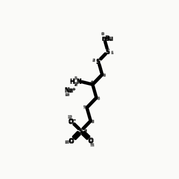 CCCCSSCC(N)CCCS(=O)(=O)[O-].[Na+]